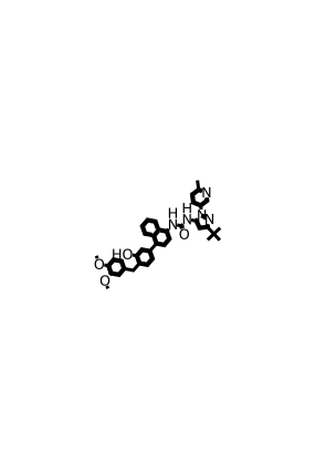 COc1ccc(Cc2ccc(-c3ccc(NC(=O)Nc4cc(C(C)(C)C)nn4-c4ccc(C)nc4)c4ccccc34)cc2O)cc1OC